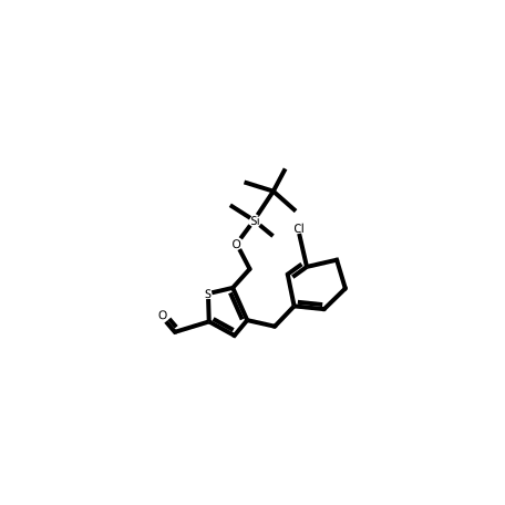 CC(C)(C)[Si](C)(C)OCc1sc(C=O)cc1CC1=CCCC(Cl)=C1